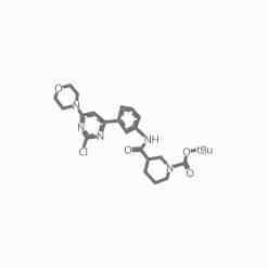 CC(C)(C)OC(=O)N1CCCC(C(=O)Nc2cccc(-c3cc(N4CCOCC4)nc(Cl)n3)c2)C1